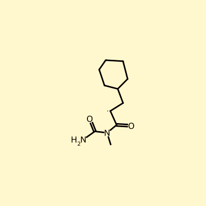 CN(C(N)=O)C(=O)[CH]CC1CCCCC1